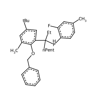 CCCCCC(CC)(Pc1ccc(C)cc1F)c1cc(C(C)(C)C)cc(C)c1OCc1ccccc1